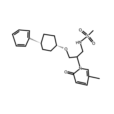 Cc1ccc(=O)n(C(CNS(C)(=O)=O)CO[C@H]2CC[C@@H](c3ccccc3)CC2)c1